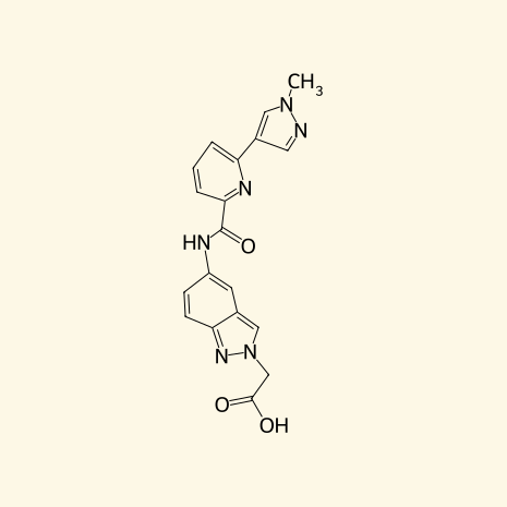 Cn1cc(-c2cccc(C(=O)Nc3ccc4nn(CC(=O)O)cc4c3)n2)cn1